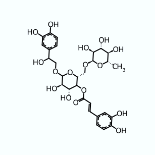 C[C@@H]1O[C@@H](OC[C@H]2OC(OCC(O)c3ccc(O)c(O)c3)[C@H](O)[C@@H](O)C2OC(=O)/C=C/c2ccc(O)c(O)c2)[C@@H](O)[C@H](O)[C@H]1O